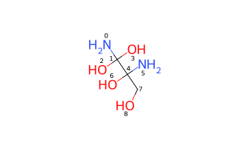 NC(O)(O)C(N)(O)CO